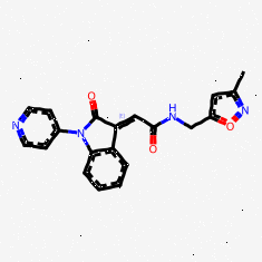 Cc1cc(CNC(=O)/C=C2/C(=O)N(c3ccncc3)c3ccccc32)on1